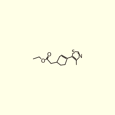 CCOC(=O)CC1CC=C(c2scnc2C)CC1